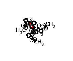 COC(=O)Oc1ccccc1C(=O)OCC(COC(=O)c1ccccc1OC(=O)OC)(COC(=O)c1ccccc1OC(=O)OC)COC(=O)c1ccccc1OC(=O)OC